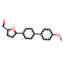 COc1ccc(-c2ccc(-c3ccc(C=O)o3)cc2)cc1